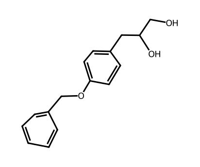 OCC(O)Cc1ccc(OCc2ccccc2)cc1